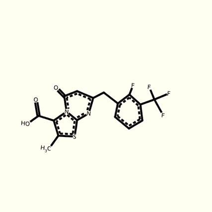 Cc1sc2nc(Cc3cccc(C(F)(F)F)c3F)cc(=O)n2c1C(=O)O